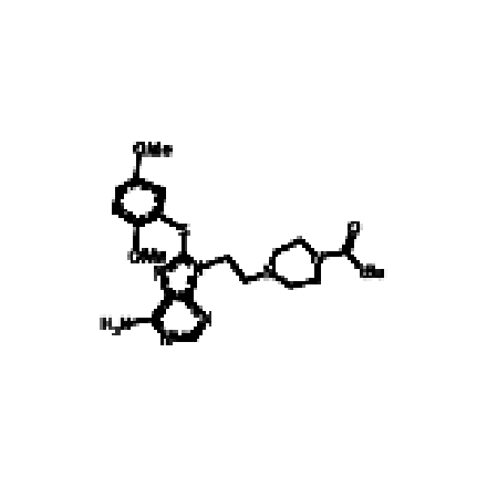 COc1ccc(OC)c(Sc2nc3c(N)ncnc3n2CCN2CCN(C(=O)C(C)(C)C)CC2)c1